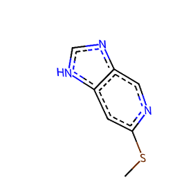 CSc1cc2[nH]cnc2cn1